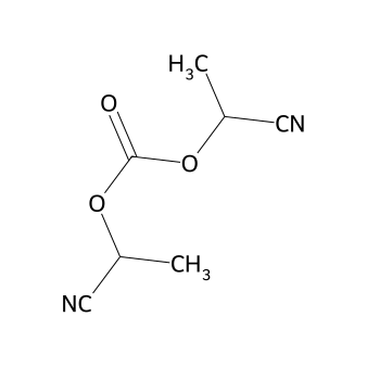 CC(C#N)OC(=O)OC(C)C#N